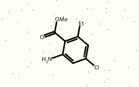 CCc1cc(Cl)cc(N)c1C(=O)OC